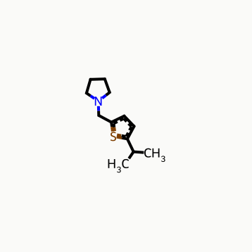 CC(C)c1ccc(CN2CCCC2)s1